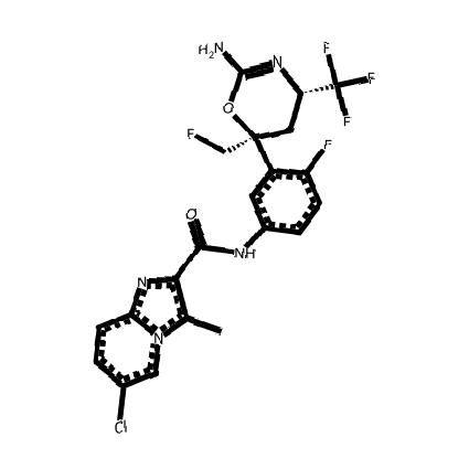 Cc1c(C(=O)Nc2ccc(F)c([C@]3(CF)C[C@@H](C(F)(F)F)N=C(N)O3)c2)nc2ccc(Cl)cn12